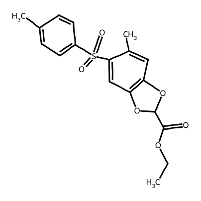 CCOC(=O)C1Oc2cc(C)c(S(=O)(=O)c3ccc(C)cc3)cc2O1